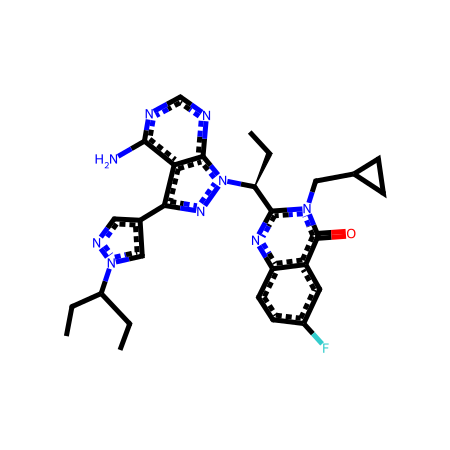 CCC(CC)n1cc(-c2nn([C@@H](CC)c3nc4ccc(F)cc4c(=O)n3CC3CC3)c3ncnc(N)c23)cn1